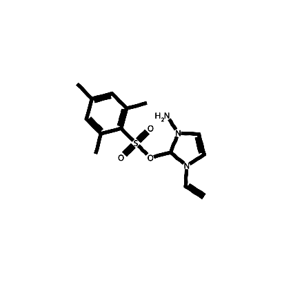 C=CN1C=CN(N)C1OS(=O)(=O)c1c(C)cc(C)cc1C